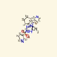 CNC(=S)C1(c2cccnc2)CCCCC1CCNS(=O)(=O)c1cccnc1